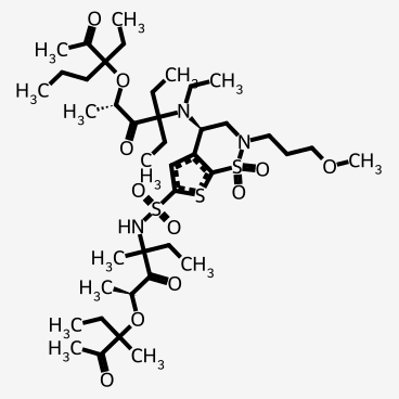 CCCC(CC)(O[C@@H](C)C(=O)C(CC)(CC)N(CC)[C@H]1CN(CCCOC)S(=O)(=O)c2sc(S(=O)(=O)NC(C)(CC)C(=O)[C@H](C)OC(C)(CC)C(C)=O)cc21)C(C)=O